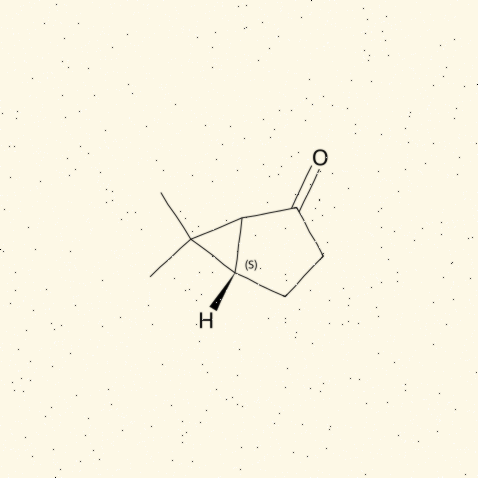 CC1(C)C2C(=O)CC[C@@H]21